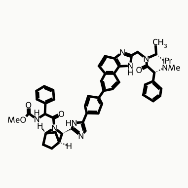 CN[C@@H](C(=O)N(Cc1nc2ccc3cc(-c4ccc(-c5cnc([C@@H]6[C@H]7CC[C@H](C7)N6C(=O)C(NC(=O)OC)c6ccccc6)[nH]5)cc4)ccc3c2[nH]1)[C@H](C)C(C)C)c1ccccc1